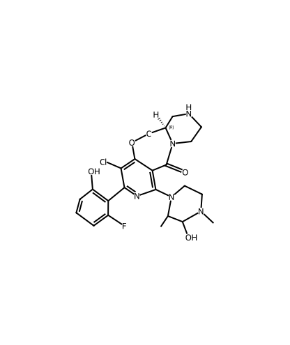 CC1C(O)N(C)CCN1c1nc(-c2c(O)cccc2F)c(Cl)c2c1C(=O)N1CCNC[C@@H]1CO2